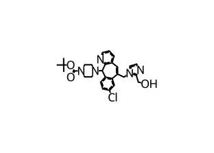 CC(C)(C)OC(=O)N1CCN(C2c3ccc(Cl)cc3C(Cn3ccnc3CO)=Cc3cccnc32)CC1